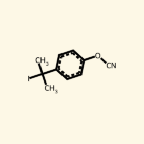 CC(C)(I)c1ccc(OC#N)cc1